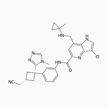 Cn1cnnc1[C@]1(c2cccc(NC(=O)c3cc(CNC4(C)CC4)c4[nH]cc(Cl)c4n3)c2)C[C@H](CC#N)C1